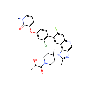 Cc1nc2cnc3cc(F)c(-c4ccc(Oc5cccn(C)c5=O)cc4Cl)cc3c2n1C1(C)CCN(C(=O)[C@H](C)O)CC1